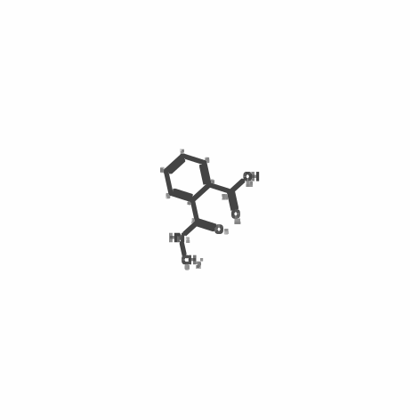 [CH2]NC(=O)c1ccccc1C(=O)O